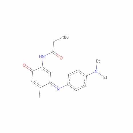 CCN(CC)c1ccc(N=C2C=C(NC(=O)CC(C)(C)C)C(=O)C=C2C)cc1